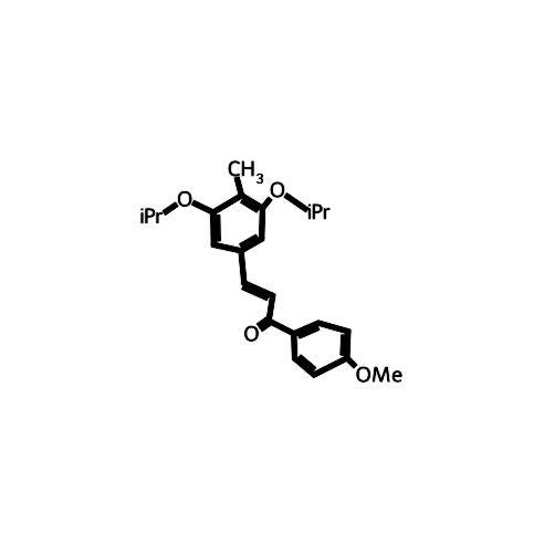 COc1ccc(C(=O)/C=C/c2cc(OC(C)C)c(C)c(OC(C)C)c2)cc1